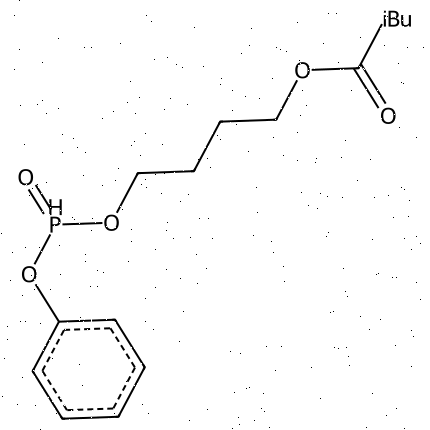 CCC(C)C(=O)OCCCCO[PH](=O)Oc1ccccc1